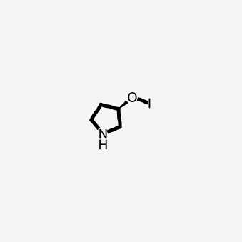 IO[C@@H]1CCNC1